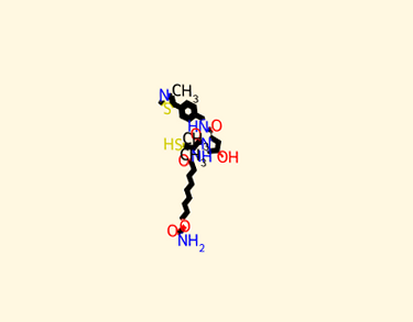 Cc1ncsc1-c1ccc(CNC(=O)[C@@H]2C[C@@H](O)CN2C(=O)[C@@H](NC(=O)CCCCCCCCOC(N)=O)C(C)(C)S)cc1